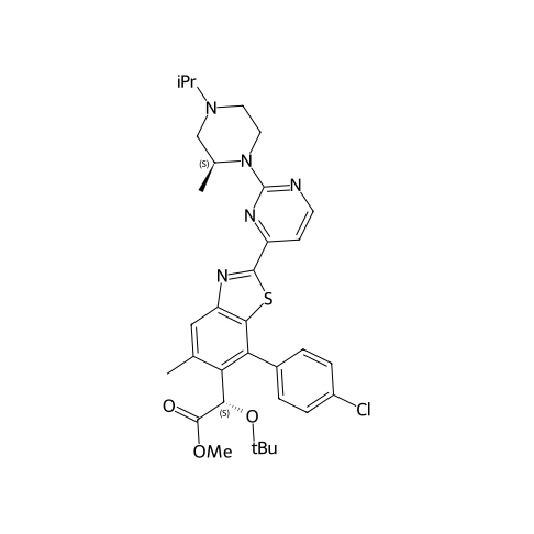 COC(=O)[C@@H](OC(C)(C)C)c1c(C)cc2nc(-c3ccnc(N4CCN(C(C)C)C[C@@H]4C)n3)sc2c1-c1ccc(Cl)cc1